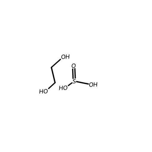 O=S(O)O.OCCO